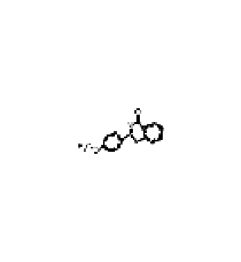 O=C1N=C(c2ccc(OC(F)(F)F)cc2)Cc2ccccc21